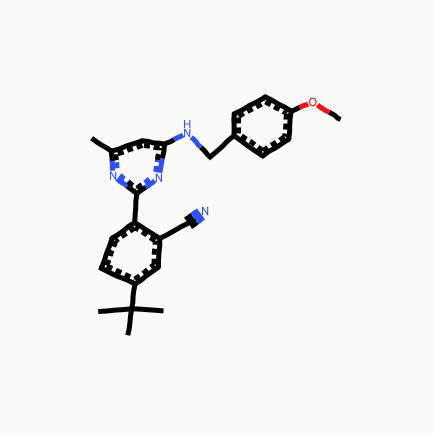 COc1ccc(CNc2cc(C)nc(-c3ccc(C(C)(C)C)cc3C#N)n2)cc1